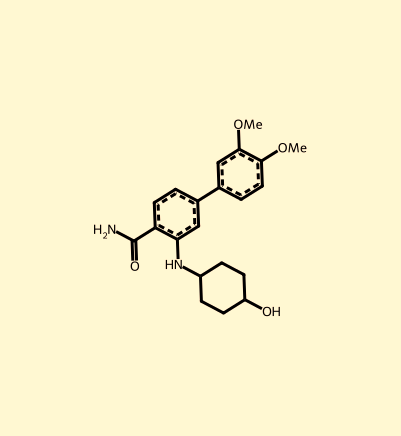 COc1ccc(-c2ccc(C(N)=O)c(NC3CCC(O)CC3)c2)cc1OC